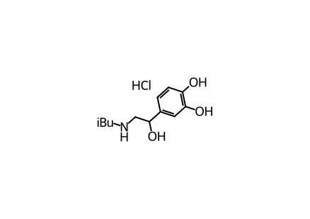 CCC(C)NCC(O)c1ccc(O)c(O)c1.Cl